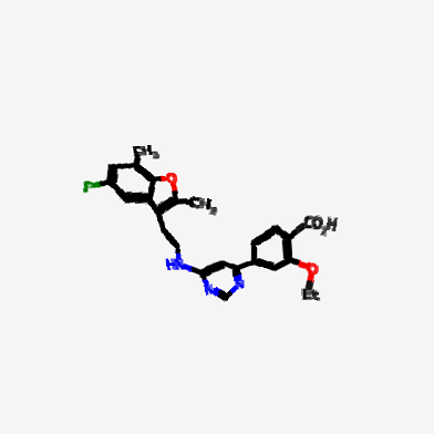 CCOc1cc(-c2cc(NCCc3c(C)oc4c(C)cc(F)cc34)ncn2)ccc1C(=O)O